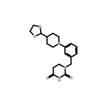 O=C1CCN(Cc2cccc(N3CCC(C4OCCO4)CC3)c2)C(=O)N1